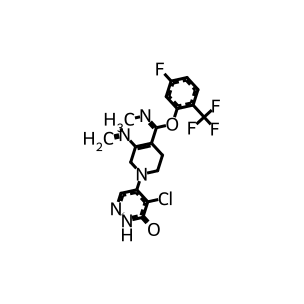 C=NC1=C(/C(=N\C)Oc2cc(F)ccc2C(F)(F)F)CCN(c2cn[nH]c(=O)c2Cl)C1